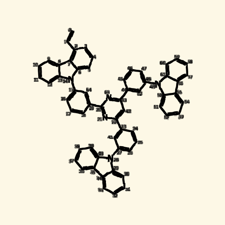 C=Cc1cccc2c1c1ccccc1n2-c1cccc(-c2nc(-c3cccc(-n4c5ccccc5c5ccccc54)c3)cc(-c3cccc(-n4c5ccccc5c5ccccc54)c3)n2)c1